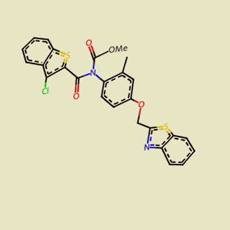 COC(=O)N(C(=O)c1sc2ccccc2c1Cl)c1ccc(OCc2nc3ccccc3s2)cc1C